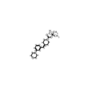 CC(C)(C)OC(=O)N1CCC(=Cc2cccc(N3CCOCC3)c2)CC1